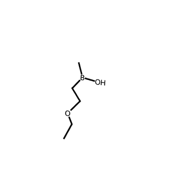 CCOCCB(C)O